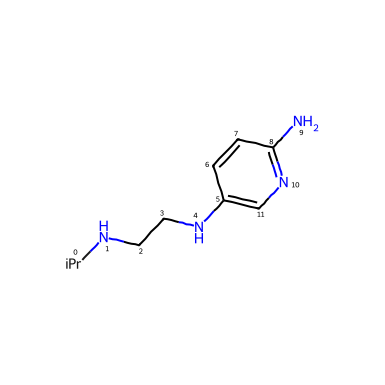 CC(C)NCCNc1ccc(N)nc1